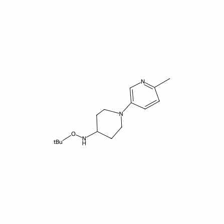 Cc1ccc(N2CCC(NOC(C)(C)C)CC2)cn1